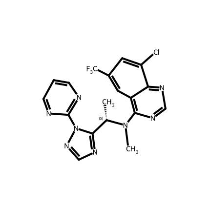 C[C@@H](c1ncnn1-c1ncccn1)N(C)c1ncnc2c(Cl)cc(C(F)(F)F)cc12